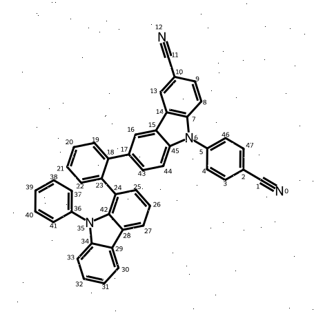 N#Cc1ccc(-n2c3ccc(C#N)cc3c3cc(-c4ccccc4-c4cccc5c6ccccc6n(-c6ccccc6)c45)ccc32)cc1